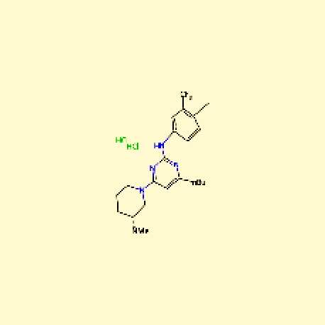 CCCCc1cc(N2CCC[C@@H](NC)C2)nc(Nc2ccc(C)c(C(F)(F)F)c2)n1.Cl.Cl